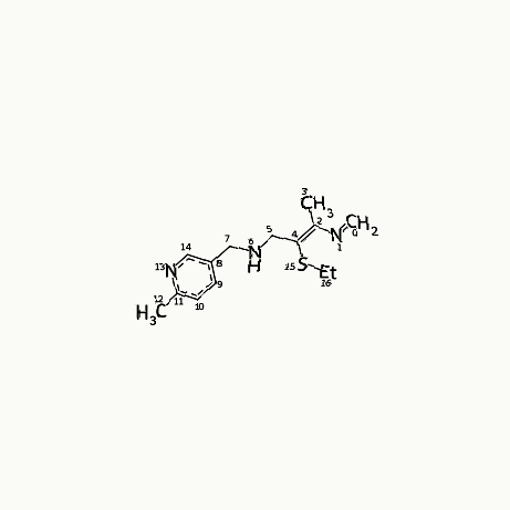 C=N/C(C)=C(/CNCc1ccc(C)nc1)SCC